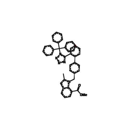 COC(=O)c1cccc2cc(C)n(Cc3ccc(-c4ccccc4-c4nnnn4C(c4ccccc4)(c4ccccc4)c4ccccc4)cc3)c12